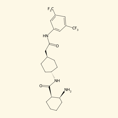 N[C@H]1CCCC[C@H]1C(=O)N[C@H]1CC[C@H](CC(=O)Nc2cc(C(F)(F)F)cc(C(F)(F)F)c2)CC1